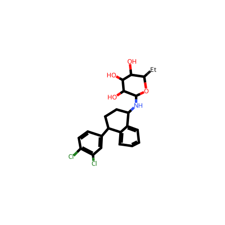 CCC1OC(NC2CCC(c3ccc(Cl)c(Cl)c3)c3ccccc32)C(O)C(O)C1O